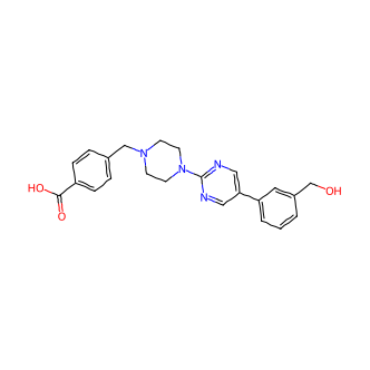 O=C(O)c1ccc(CN2CCN(c3ncc(-c4cccc(CO)c4)cn3)CC2)cc1